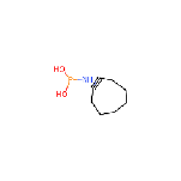 C1#CCCCCCC1.NP(O)O